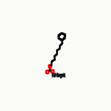 CCCCCCCOC(=O)OCCCCCCCCCc1ccccc1